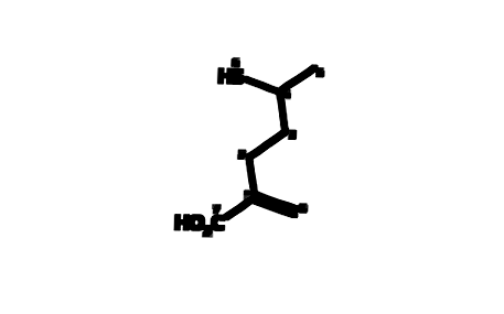 C=C(CCC(C)S)C(=O)O